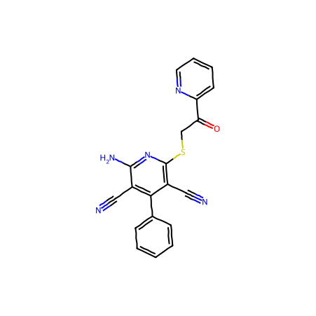 N#Cc1c(N)nc(SCC(=O)c2ccccn2)c(C#N)c1-c1ccccc1